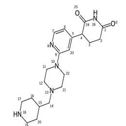 O=C1CCC(c2ccnc(N3CCN(CC4CCNCC4)CC3)c2)C(=O)N1